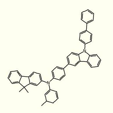 CC1C=C(N(c2ccc(-c3ccc4c(c3)c3ccccc3n4-c3ccc(-c4ccccc4)cc3)cc2)c2ccc3c(c2)C(C)(C)c2ccccc2-3)C=CC1